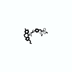 CCCc1ccc2c(c1)C(N(C)CCOc1ccc(CC(OCC)C(=O)OCC)cc1)c1ccc(C)cc1CC2